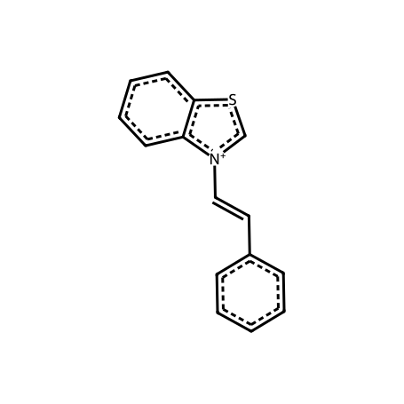 C(=C[n+]1csc2ccccc21)c1ccccc1